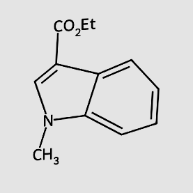 CCOC(=O)c1cn(C)c2ccccc12